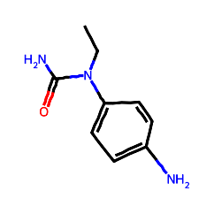 CCN(C(N)=O)c1ccc(N)cc1